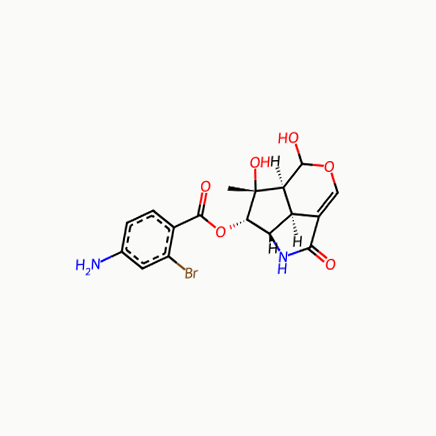 C[C@]1(O)[C@@H](OC(=O)c2ccc(N)cc2Br)[C@H]2NC(=O)C3=COC(O)[C@H]1[C@@H]32